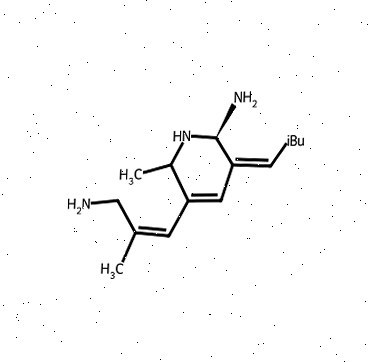 CCC(C)/C=C1C=C(/C=C(/C)CN)C(C)N[C@H]/1N